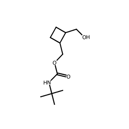 CC(C)(C)NC(=O)OCC1CCC1CO